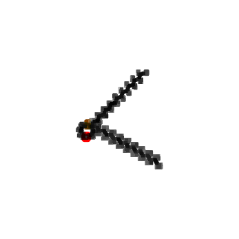 CCCCCCCCCCCCCCCCCCC1(CCCCCCCCCCCCCCCCCC)CCOCCCS1